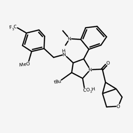 COc1cc(C(F)(F)F)ccc1CNC1C(c2ccccc2N(C)C)N(C(=O)C2C3COCC32)C(C(=O)O)C1C(C)(C)C